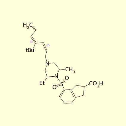 C=C/C=C(\C=C/CN1CC(C)N(S(=O)(=O)c2cccc3c2CC(C(=O)O)C3)C(CC)C1)C(C)(C)C